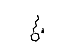 C#N.CCCCCN1CCCCC1